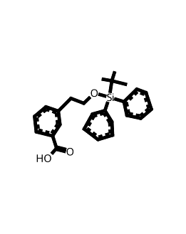 CC(C)(C)[Si](OCCc1cccc(C(=O)O)c1)(c1ccccc1)c1ccccc1